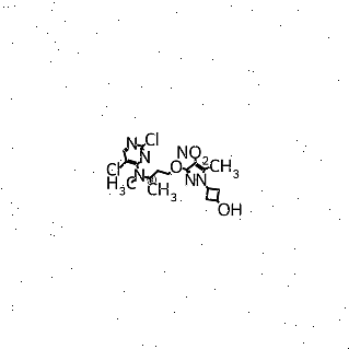 Cc1c([N+](=O)[O-])c(OCC[C@@H](C)N(C)c2nc(Cl)ncc2Cl)nn1C1CC(O)C1